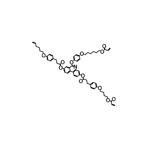 C=CCCCCOc1ccc(CCC(=O)Oc2ccc3c(c2)c(Oc2ccc(OCCCCCCOC(=O)C=C)cc2)nc2cc(OC(=O)CCc4ccc(OCCCCOC(=O)C=C)cc4)ccc23)cc1